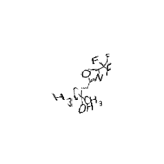 CC(C)(O)CCc1nc(C(F)(F)F)co1